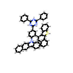 c1ccc(-c2nc(-c3ccccc3)nc(-c3ccc(-n4c5ccccc5c5cc6ccccc6cc54)c(-c4cc5ccccc5c5sc6ccccc6c45)c3)n2)cc1